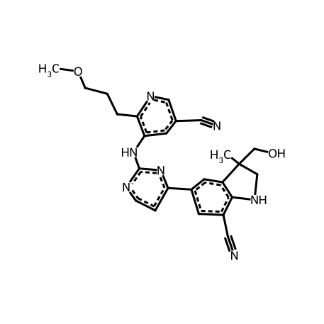 COCCCc1ncc(C#N)cc1Nc1nccc(-c2cc(C#N)c3c(c2)C(C)(CO)CN3)n1